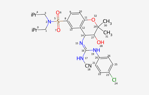 CC(C)CN(CC(C)C)S(=O)(=O)c1ccc2c(c1)C(N=C(NC#N)Nc1ccc(Cl)cc1)C(O)C(C)(C)O2